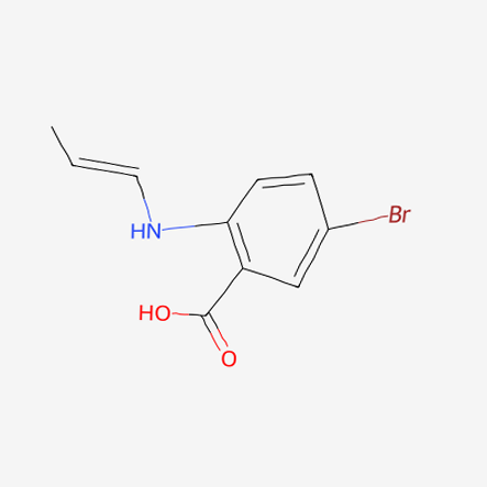 C/C=C/Nc1ccc(Br)cc1C(=O)O